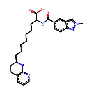 Cn1cc2cc(C(=O)NC(CCCCCCCC3CCc4cccnc4N3)C(=O)O)ccc2n1